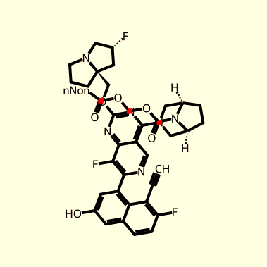 C#Cc1c(F)ccc2cc(O)cc(-c3ncc4c(N5C[C@H]6CC[C@@H](C5)N6C(=O)OCOC(=O)CCCCCCCCC)nc(OC[C@@]56CCCN5C[C@H](F)C6)nc4c3F)c12